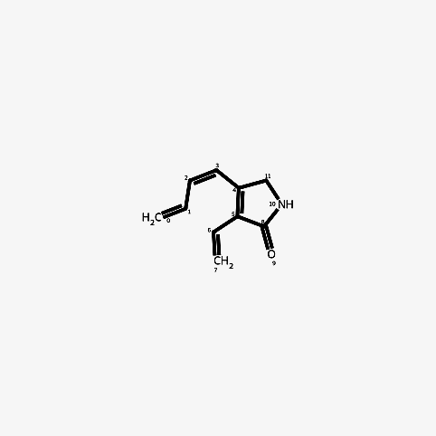 C=C/C=C\C1=C(C=C)C(=O)NC1